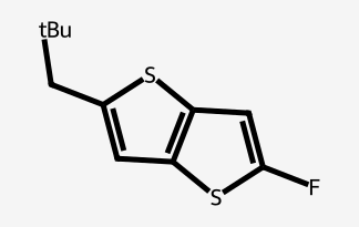 CC(C)(C)Cc1cc2sc(F)cc2s1